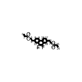 C=CC(=O)OCCc1ccc2c(c1)c(F)c(F)c1cc(CCOC(=O)C=C)ccc12